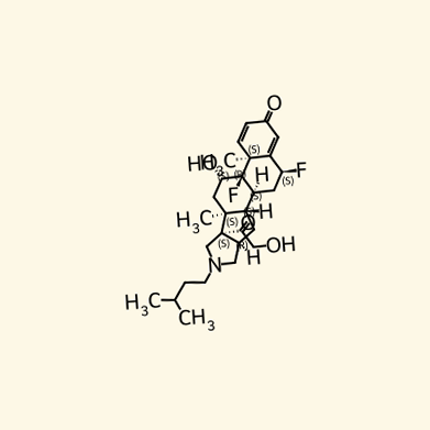 CC(C)CCN1C[C@@H]2C[C@H]3[C@@H]4C[C@H](F)C5=CC(=O)C=C[C@]5(C)[C@@]4(F)[C@@H](O)C[C@]3(C)[C@]2(C(=O)CO)C1